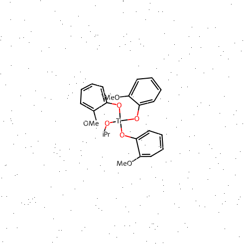 COc1ccccc1[O][Ti]([O]c1ccccc1OC)([O]c1ccccc1OC)[O]C(C)C